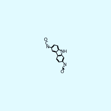 O=C=Nc1ccc2c(c1)[nH]c1ccc(N=C=O)cc12